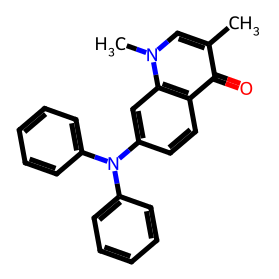 Cc1cn(C)c2cc(N(c3ccccc3)c3ccccc3)ccc2c1=O